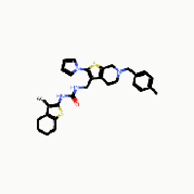 CC(=O)c1c(NC(=O)NCc2c(-n3cccc3)sc3c2CCN(Cc2ccc(C)cc2)C3)sc2c1CCCC2